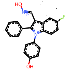 O/N=C/c1c(-c2ccccc2)n(-c2ccc(O)cc2)c2ccc(F)cc12